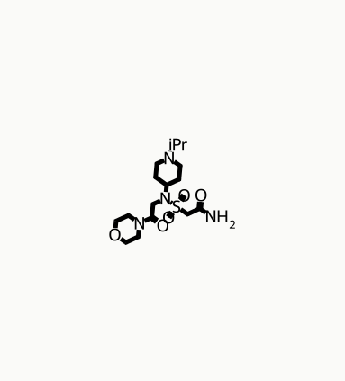 CC(C)N1CCC(N(CC(=O)N2CCOCC2)S(=O)(=O)CC(N)=O)CC1